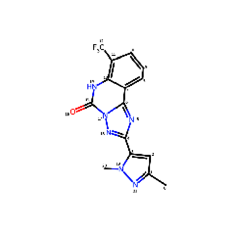 Cc1cc(-c2nc3c4cccc(C(F)(F)F)c4[nH]c(=O)n3n2)n(C)n1